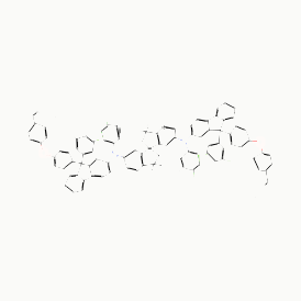 C=Cc1ccc(Oc2ccc(C3(c4cc(F)cc(F)c4)c4ccccc4-c4ccc(N(c5ccc(F)cc5)c5ccc6c(c5)C5(CC6(C)C)CC(C)(C)c6ccc(N(c7ccc(F)cc7)c7ccc8c(c7)C(c7ccc(Oc9ccc(C=C)cc9)cc7)(c7cc(F)cc(F)c7)c7ccccc7-8)cc65)cc43)cc2)cc1